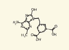 Cc1nc(N)c2nc(O)n(Cc3cc(C(=O)O)cc(C(=O)O)c3)c2n1